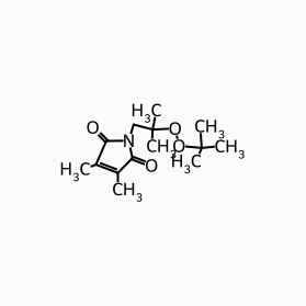 CC1=C(C)C(=O)N(CC(C)(C)OOC(C)(C)C)C1=O